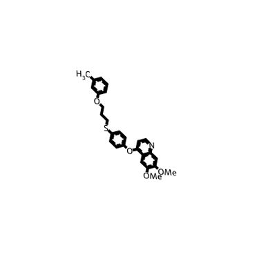 COc1cc2nccc(Oc3ccc(SCCCOc4cccc(C)c4)cc3)c2cc1OC